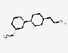 CCC[C@H]1CC[C@@H]([C@@H]2CCC[C@@H](CC)C2)CC1